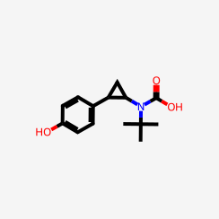 CC(C)(C)N(C(=O)O)C1CC1c1ccc(O)cc1